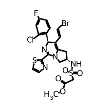 COC(=O)CS(=O)(=O)N[C@H]1CC2=C(/C=C/Br)[C@H](c3ccc(F)cc3Cl)N=C(c3nccs3)N2C1